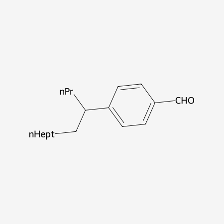 CCCCCCCCC(CCC)c1ccc(C=O)cc1